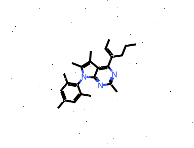 CC=C(CCC)c1nc(C)nc2c1c(C)c(C)n2-c1c(C)cc(C)cc1C